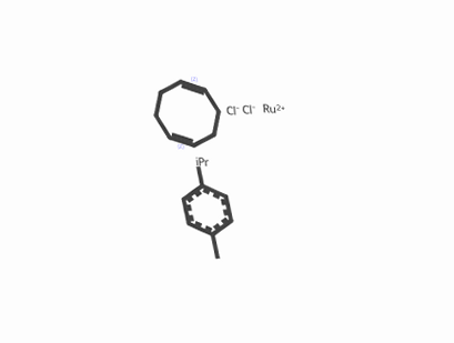 C1=C\CC/C=C\CC/1.Cc1ccc(C(C)C)cc1.[Cl-].[Cl-].[Ru+2]